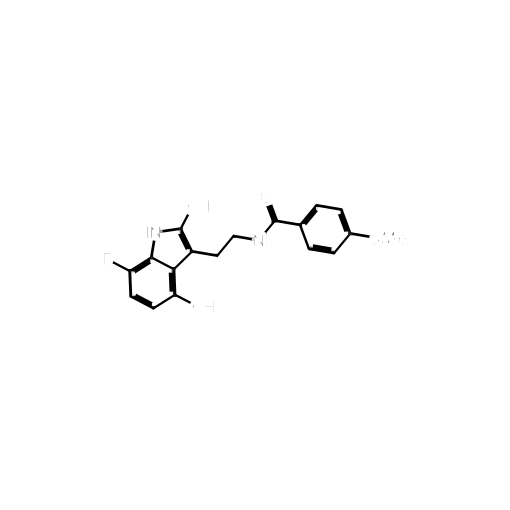 CSc1ccc(C(=O)NCCc2c(C)[nH]c3c(F)ccc(C)c23)cc1